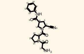 N#CC1CC(C(=O)Nc2ccccc2)CN1C(=O)C1CCCN1C(=O)CN